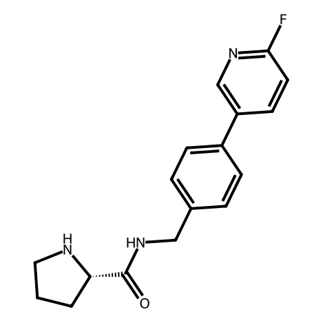 O=C(NCc1ccc(-c2ccc(F)nc2)cc1)[C@@H]1CCCN1